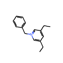 CCc1cc(CC)c[n+](Cc2ccccc2)c1